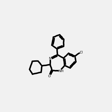 O=C1Nc2ccc(Cl)cc2C(c2ccccc2)=NC1C1CCCCC1